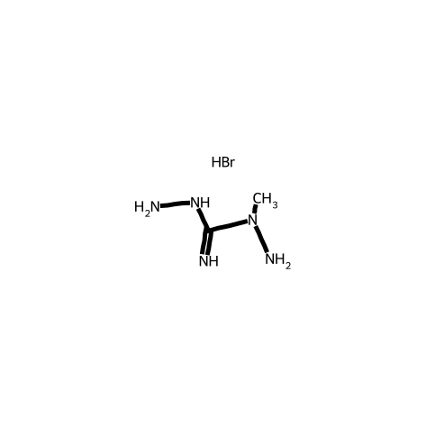 Br.CN(N)C(=N)NN